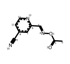 CC(=O)ON=Cc1cc(C#N)ccn1